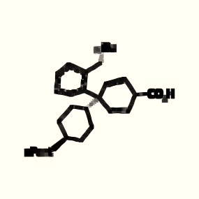 CCCCC[C@H]1CC[C@H](C2(c3ccccc3C[C@@H](C)CC)C=CC(C(=O)O)C=C2)CC1